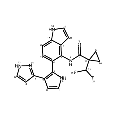 O=C(Nc1c(-c2[nH]ccc2-c2cc[nH]n2)ccc2[nH]ccc12)C1(C(F)F)CC1